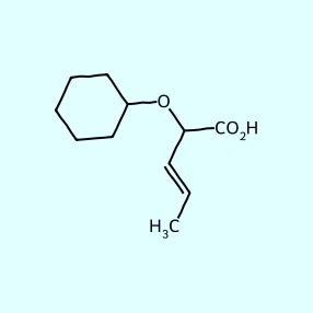 CC=CC(OC1CCCCC1)C(=O)O